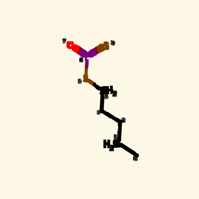 C[SiH2]CC[SiH2]SP(=O)=S